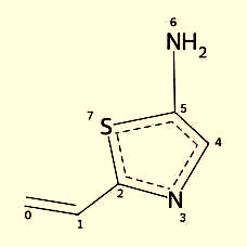 C=Cc1ncc(N)s1